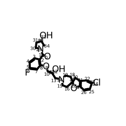 O=C(c1ccc(F)cc1OC[C@@H](O)CN1CCC2(CC1)Cc1cc(Cl)ccc1O2)N1CC[C@H](O)C1